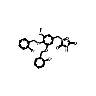 COc1cc(Cn2oc(=O)[nH]c2=O)cc(OCc2ccccc2Br)c1OCc1ccccc1Br